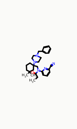 CCC(=O)N(CC1(N2CCN(Cc3ccccc3)CC2)CCCC(C)(C)C1)c1cccc(C#N)n1